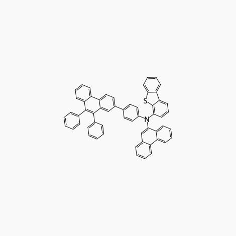 c1ccc(-c2c(-c3ccccc3)c3cc(-c4ccc(N(c5cc6ccccc6c6ccccc56)c5cccc6c5sc5ccccc56)cc4)ccc3c3ccccc23)cc1